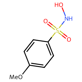 COc1ccc(S(=O)(=O)NO)cc1